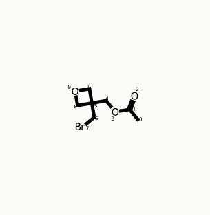 CC(=O)OCC1(CBr)COC1